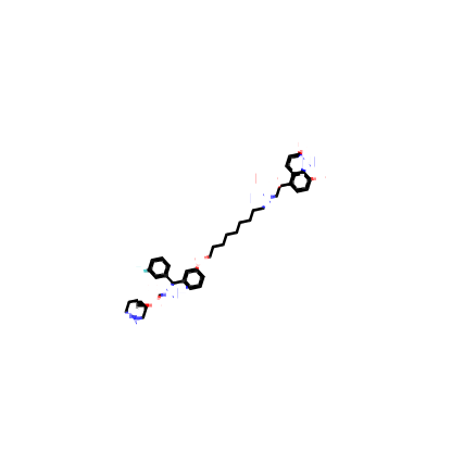 O=C(NC(c1cccc(F)c1)c1cccc(OCCCCCCCCCNCC(O)c2ccc(O)c3[nH]c(=O)ccc23)c1)OC1CN2CCC1CC2